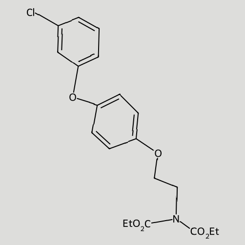 CCOC(=O)N(CCOc1ccc(Oc2cccc(Cl)c2)cc1)C(=O)OCC